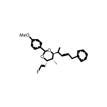 COc1ccc(C2O[C@@H](C=CF)[C@@H](C)[C@H](C(C)C=CCc3ccccc3)O2)cc1